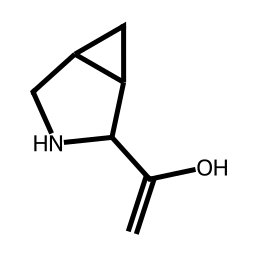 C=C(O)C1NCC2CC21